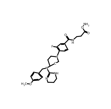 COc1ccc(CN(C2=NCCCN2)C2CCN(c3ccc(C(=O)NCCC(=O)ON)cc3F)CC2)cc1